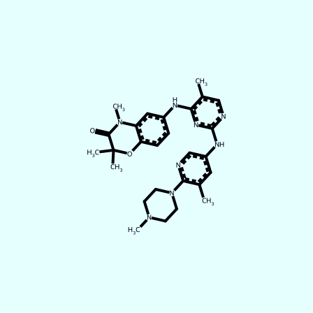 Cc1cnc(Nc2cnc(N3CCN(C)CC3)c(C)c2)nc1Nc1ccc2c(c1)N(C)C(=O)C(C)(C)O2